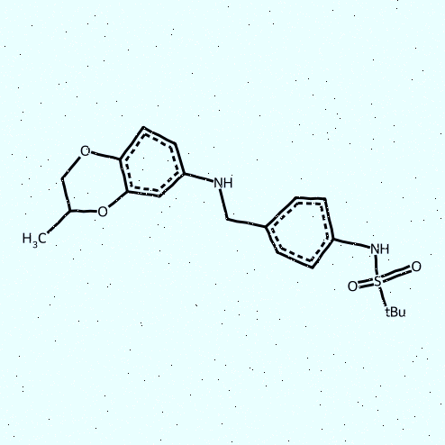 CC1COc2ccc(NCc3ccc(NS(=O)(=O)C(C)(C)C)cc3)cc2O1